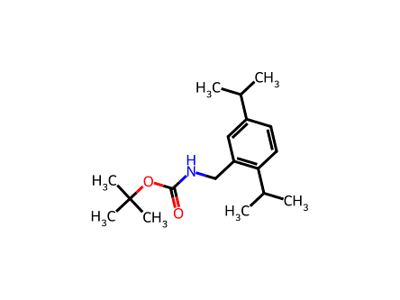 CC(C)c1ccc(C(C)C)c(CNC(=O)OC(C)(C)C)c1